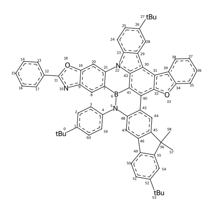 CC(C)(C)c1ccc(N2B3c4cc5nc(-c6ccccc6)oc5cc4-n4c5ccc(C(C)(C)C)cc5c5c6c(oc7ccccc76)c(c3c54)-c3cc4c(cc32)-c2ccc(C(C)(C)C)cc2C4(C)C)cc1